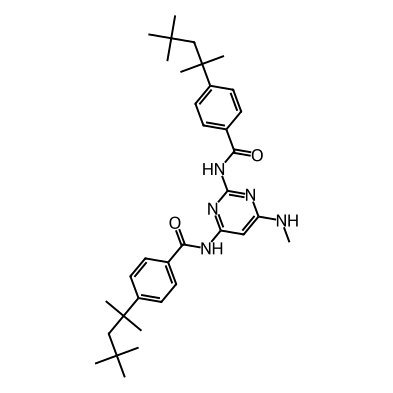 CNc1cc(NC(=O)c2ccc(C(C)(C)CC(C)(C)C)cc2)nc(NC(=O)c2ccc(C(C)(C)CC(C)(C)C)cc2)n1